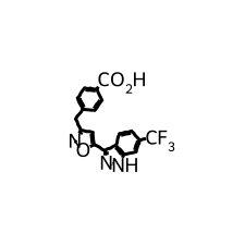 O=C(O)c1ccc(Cc2cc(-c3n[nH]c4cc(C(F)(F)F)ccc34)on2)cc1